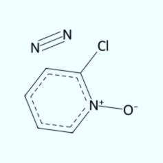 N#N.[O-][n+]1ccccc1Cl